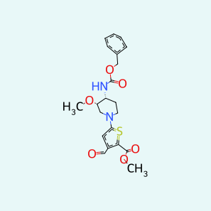 COC(=O)c1sc(N2CC[C@@H](NC(=O)OCc3ccccc3)[C@@H](OC)C2)cc1C=O